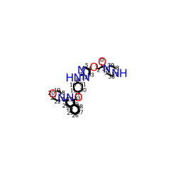 O=C(COc1cnc(N[C@H]2CC[C@@H](Oc3nc(N4CCOCC4)cc4ccccc34)CC2)nc1)N1CCNCC1